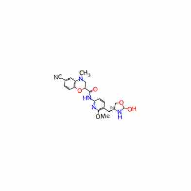 COc1nc(NC(=O)C2CN(C)c3cc(C#N)ccc3O2)ccc1C[C@H]1COC(O)N1